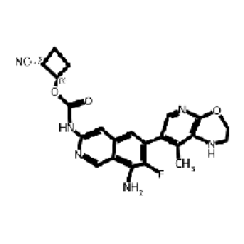 Cc1c(-c2cc3cc(NC(=O)O[C@@H]4CC[C@H]4C#N)ncc3c(N)c2F)cnc2c1NCCO2